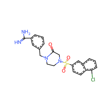 N=C(N)c1cccc(CN2CCN(S(=O)(=O)c3ccc4c(Cl)cccc4c3)CC2=O)c1